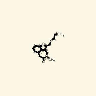 C=CCSCc1oc2cccc3c2c1CN(C)C(Cl)C3